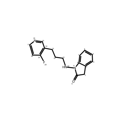 O=C1Cc2ccccc2N1NCCCc1cnccc1F